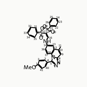 COc1ccc(-c2nnc3cc(C)c4cc(NC=C(S(=O)(=O)c5ccccc5)S(=O)(=O)c5ccccc5)ccc4n23)cc1